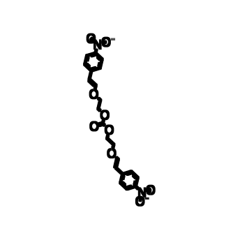 O=C(OCCOC=Cc1ccc([N+](=O)[O-])cc1)OCCOC=Cc1ccc([N+](=O)[O-])cc1